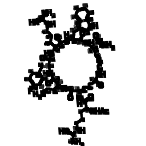 CC(=O)N[C@@H](CCCNC(=N)N)C(=O)N[C@H]1CCC(=O)NCCC[C@@H](C(N)=O)NC(=O)[C@H](Cc2c[nH]c3ccccc23)NC(=O)[C@H](CCCNC(=N)N)NC(=O)[C@@H](Cc2ccc(F)cc2)NC(=O)[C@H](CCN)NC1=O